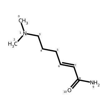 CN(C)CCCC=CC(N)=O